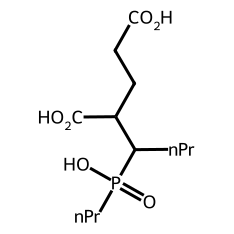 CCCC(C(CCC(=O)O)C(=O)O)P(=O)(O)CCC